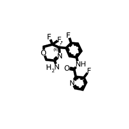 C[C@]1(c2cc(NC(=O)c3ncccc3F)ccc2F)N=C(N)COCC1(F)F